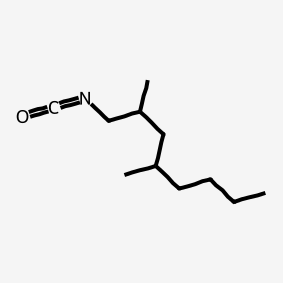 CCCCC(C)CC(C)CN=C=O